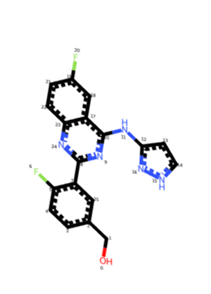 OCc1ccc(F)c(-c2nc(Nc3cc[nH]n3)c3cc(F)ccc3n2)c1